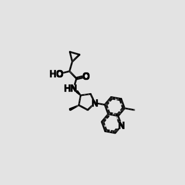 Cc1ccc(N2C[C@@H](C)[C@@H](NC(=O)C(O)C3CC3)C2)c2cccnc12